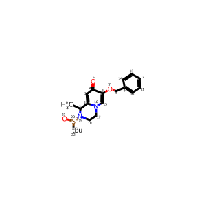 CC1c2cc(=O)c(OCc3ccccc3)cn2CCN1[S+]([O-])C(C)(C)C